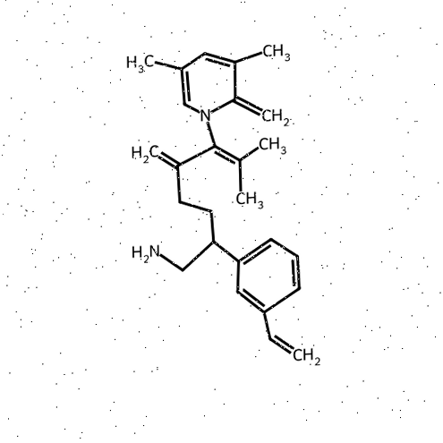 C=Cc1cccc(C(CN)CCC(=C)C(=C(C)C)N2C=C(C)C=C(C)C2=C)c1